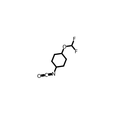 O=C=NC1CCC(OC(F)F)CC1